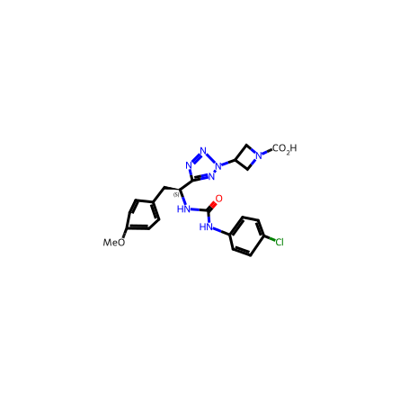 COc1ccc(C[C@H](NC(=O)Nc2ccc(Cl)cc2)c2nnn(C3CN(C(=O)O)C3)n2)cc1